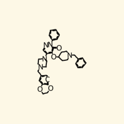 O=c1c(OC2CCN(Cc3ccccc3)CC2)c(N2CCN(Cc3ccc4c(c3)OCCO4)CC2)cnn1-c1ccccc1